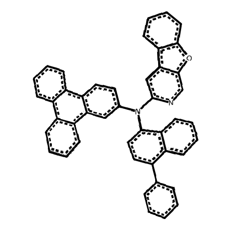 c1ccc(-c2ccc(N(c3ccc4c5ccccc5c5ccccc5c4c3)c3cc4c(cn3)oc3ccccc34)c3ccccc23)cc1